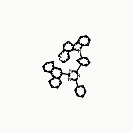 c1ccc(-c2nc(-c3cccc(-n4c5ccccc5c5ccc6ccccc6c54)c3)nc(-c3cc4ccccc4c4ccccc34)n2)cc1